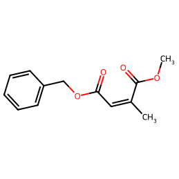 COC(=O)C(C)=CC(=O)OCc1ccccc1